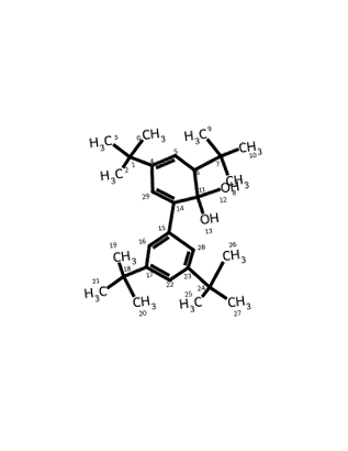 CC(C)(C)C1=CC(C(C)(C)C)C(O)(O)C(c2cc(C(C)(C)C)cc(C(C)(C)C)c2)=C1